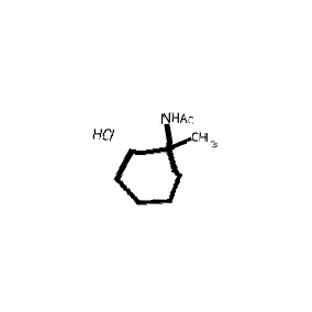 CC(=O)NC1(C)CCCCC1.Cl